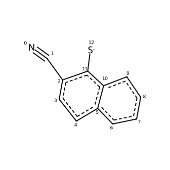 N#Cc1ccc2ccccc2c1[S]